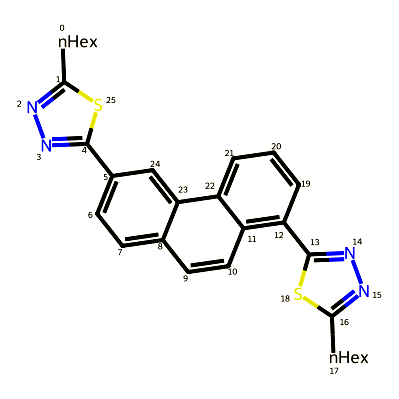 CCCCCCc1nnc(-c2ccc3ccc4c(-c5nnc(CCCCCC)s5)cccc4c3c2)s1